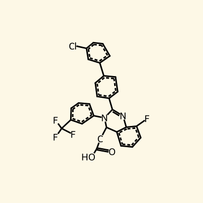 O=C(O)CC1c2cccc(F)c2N=C(c2ccc(-c3cccc(Cl)c3)cc2)N1c1cccc(C(F)(F)F)c1